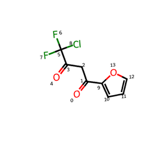 O=C(CC(=O)C(F)(F)Cl)c1ccco1